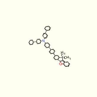 CC1(C)c2cc(-c3ccc(-c4ccc(N(c5ccc(-c6ccccc6)cc5)c5ccc(-c6ccccc6)cc5)cc4)cc3)ccc2-c2oc3ccccc3c21